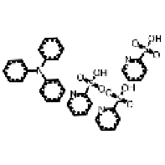 O=S(=O)(O)c1ccccn1.O=S(=O)(O)c1ccccn1.O=S(=O)(O)c1ccccn1.c1ccc(N(c2ccccc2)c2ccccc2)cc1